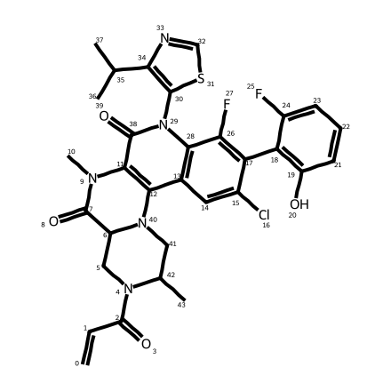 C=CC(=O)N1CC2C(=O)N(C)c3c(c4cc(Cl)c(-c5c(O)cccc5F)c(F)c4n(-c4scnc4C(C)C)c3=O)N2CC1C